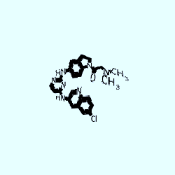 CN(C)CC(=O)N1CCc2cc(Nc3nccc(Nc4cnc5ccc(Cl)cc5c4)n3)ccc21